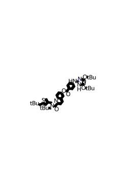 CC(C)(C)Cc1cc(CN(CC(C)(C)C)C(=O)c2ccc3cc(OC(=O)c4ccc(N/C(=N/C(=O)OC(C)(C)C)NC(=O)OC(C)(C)C)cc4)ccc3n2)cs1